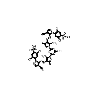 Cc1nn(-c2nc(O)nc(-n3nc(C)c(N=Nc4c(C#N)cnn4-c4cc(Cl)c(S(=O)(=O)O)cc4Cl)c3N)n2)c(N)c1N=Nc1c(C#N)cnn1-c1cc(Cl)c(S(=O)(=O)O)cc1Cl